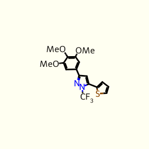 COc1cc(-c2cc(-c3cccs3)n(C(F)(F)F)n2)cc(OC)c1OC